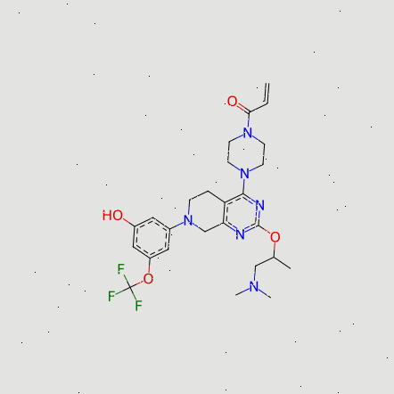 C=CC(=O)N1CCN(c2nc(OC(C)CN(C)C)nc3c2CCN(c2cc(O)cc(OC(F)(F)F)c2)C3)CC1